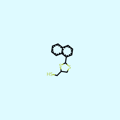 SCC1CSC(c2cccc3ccccc23)S1